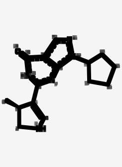 C[C@@H]1CNC=C1c1nc2c(cnn2C2CCCC2)c(=O)[nH]1